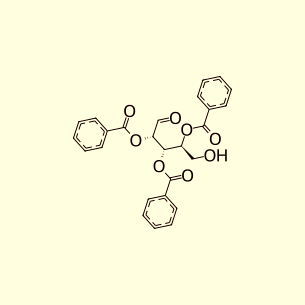 O=C[C@@H](OC(=O)c1ccccc1)[C@@H](OC(=O)c1ccccc1)[C@H](CO)OC(=O)c1ccccc1